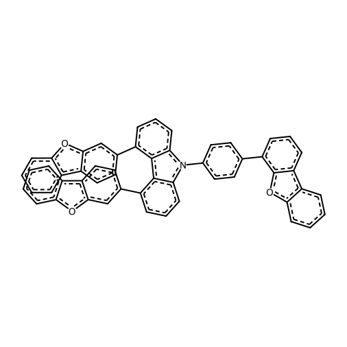 c1ccc2c(c1)oc1cc(-c3cccc4c3c3c(-c5ccc6c(c5)oc5ccccc56)cccc3n4-c3ccc(-c4cccc5c4oc4ccccc45)cc3)ccc12